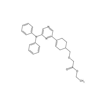 CCOC(=O)COCC1CC=C(c2cncc(N(c3ccccc3)c3ccccc3)n2)CC1